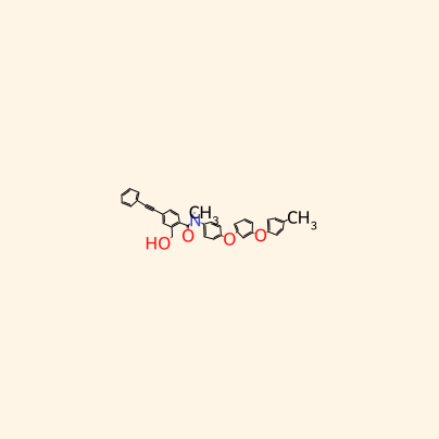 Cc1ccc(Oc2cccc(Oc3ccc(N(C)C(=O)c4ccc(C#Cc5ccccc5)cc4CO)cc3)c2)cc1